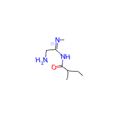 CCC(C)C(=O)N/C(CN)=N\C